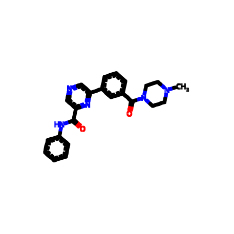 CN1CCN(C(=O)c2cccc(-c3cncc(C(=O)Nc4ccccc4)n3)c2)CC1